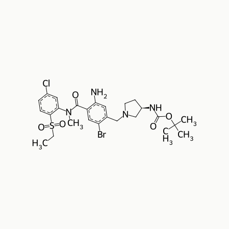 CCS(=O)(=O)c1ccc(Cl)cc1N(C)C(=O)c1cc(Br)c(CN2CC[C@@H](NC(=O)OC(C)(C)C)C2)cc1N